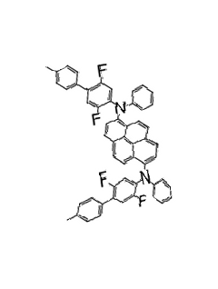 Cc1ccc(-c2cc(F)c(N(c3ccccc3)c3ccc4ccc5c(N(c6ccccc6)c6cc(F)c(-c7ccc(C)cc7)cc6F)ccc6ccc3c4c65)cc2F)cc1